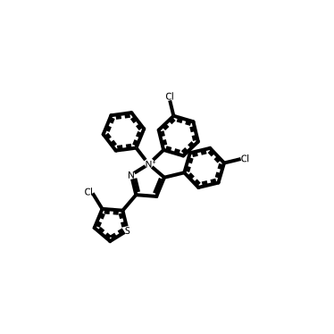 Clc1ccc(C2=CC(c3sccc3Cl)=N[N+]2(c2ccccc2)c2cccc(Cl)c2)cc1